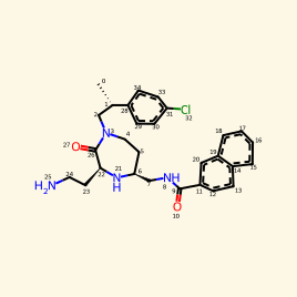 C[C@@H](CN1CC[C@@H](CNC(=O)c2ccc3ccccc3c2)N[C@@H](CCN)C1=O)c1ccc(Cl)cc1